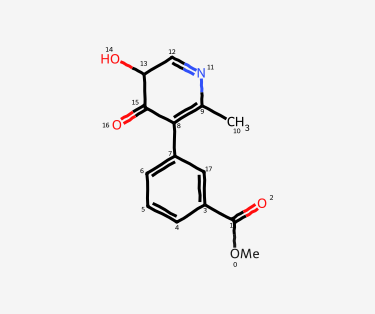 COC(=O)c1cccc(C2=C(C)N=CC(O)C2=O)c1